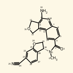 CN(C(=O)c1ccc2nc(N)c3c(c2c1)COC3)[C@H]1COc2cc(C#N)ccc21